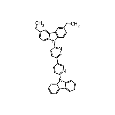 C=Cc1ccc2c(c1)c1cc(C=C)ccc1n2-c1ccc(-c2ccc(-n3c4ccccc4c4ccccc43)nc2)cn1